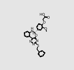 COc1cc([C@H]2Nc3ccccc3-c3nnc(SCc4ccccc4)nc3O2)ccc1OCC(=O)O